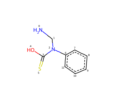 NCN(C(O)=S)c1ccccc1